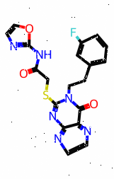 O=C(CSc1nc2nccnc2c(=O)n1CCc1cccc(F)c1)Nc1ncco1